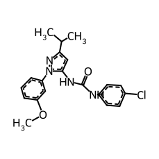 COc1cccc(-n2nc(C(C)C)cc2NC(=O)Nc2ccc(Cl)cc2)c1